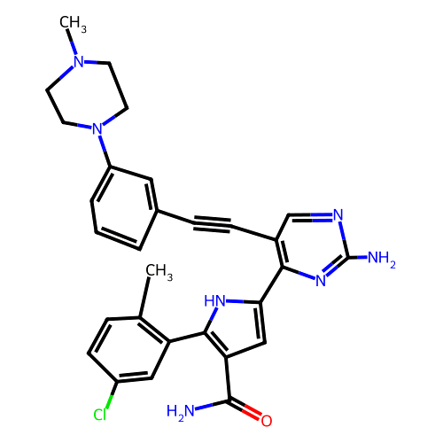 Cc1ccc(Cl)cc1-c1[nH]c(-c2nc(N)ncc2C#Cc2cccc(N3CCN(C)CC3)c2)cc1C(N)=O